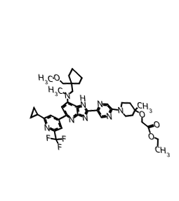 CCOC(=O)COC1(C)CCN(c2cnc(-c3nc4nc(-c5cc(C6CC6)nc(C(F)(F)F)c5)cc(N(C)CC5(COC)CCCC5)c4[nH]3)cn2)CC1